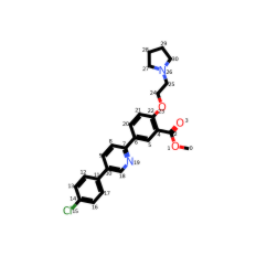 COC(=O)c1cc(-c2ccc(-c3ccc(Cl)cc3)cn2)ccc1OCCN1CCCC1